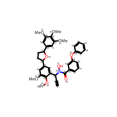 C#CC(c1cc(C2CCC(c3cc(OC)c(OC)c(OC)c3)O2)cc(OC)c1OCCC)N(O)C(=O)c1cccc(Oc2ccccc2)c1